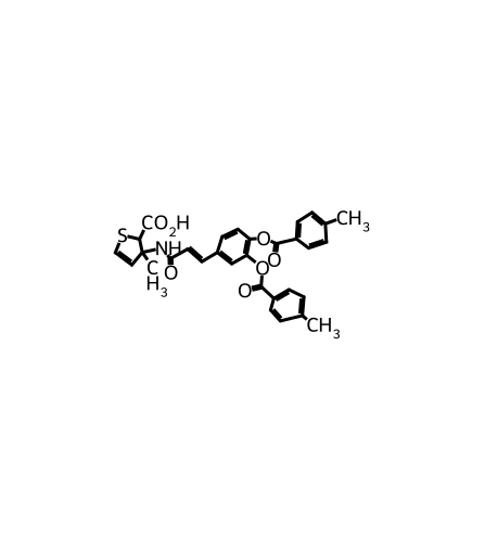 Cc1ccc(C(=O)Oc2ccc(/C=C/C(=O)NC3(C)C=CSC3C(=O)O)cc2OC(=O)c2ccc(C)cc2)cc1